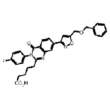 O=C(O)CCCCc1nc2cc(-c3cc(COCc4ccccc4)on3)ccc2c(=O)n1-c1ccc(F)cc1